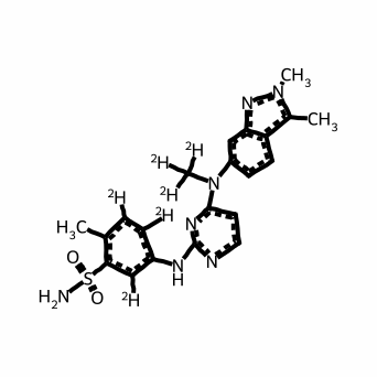 [2H]c1c([2H])c(Nc2nccc(N(c3ccc4c(C)n(C)nc4c3)C([2H])([2H])[2H])n2)c([2H])c(S(N)(=O)=O)c1C